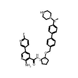 C[C@@H](c1ccc(-c2ccc(CO[C@H]3CCC[C@@H]3NC(=O)c3cc(-c4ccc(F)nc4)cnc3N)cc2)cc1)N1CCNCC1